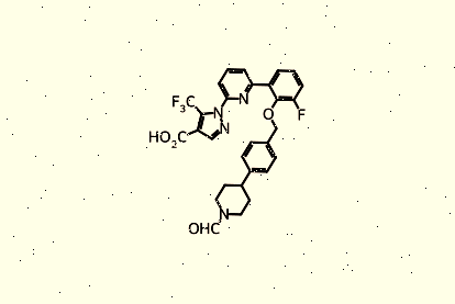 O=CN1CCC(c2ccc(COc3c(F)cccc3-c3cccc(-n4ncc(C(=O)O)c4C(F)(F)F)n3)cc2)CC1